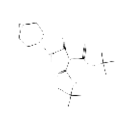 CC(C)(C)OC(=O)N(C(=N)NN1CCNCC1)C(=O)OC(C)(C)C